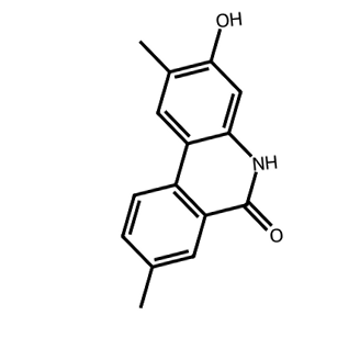 Cc1ccc2c(c1)c(=O)[nH]c1cc(O)c(C)cc12